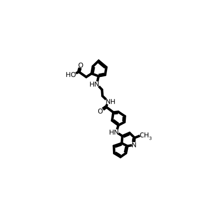 Cc1cc(Nc2cccc(C(=O)NCCNc3ccccc3CC(=O)O)c2)c2ccccc2n1